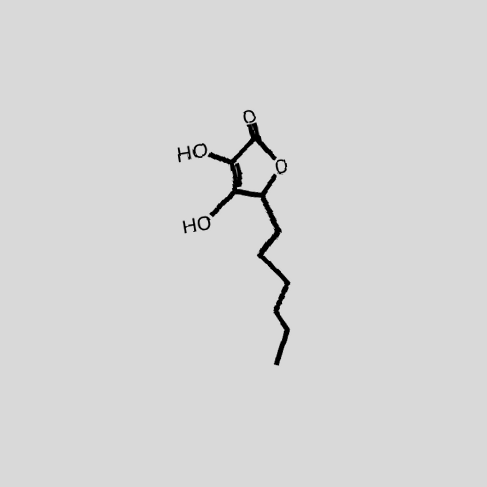 CCCCCCC1OC(=O)C(O)=C1O